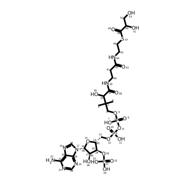 CC(C)(COP(=O)(O)OP(=O)(O)OC[C@H]1O[C@@H](n2cnc3c(N)ncnc32)[C@H](O)[C@@H]1OP(=O)(O)O)C(O)C(=O)NCCC(=O)NCCSC(=O)C(O)CO